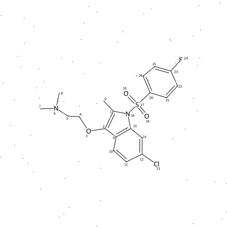 Cc1c(OCCN(C)C)c2ccc(Cl)cc2n1S(=O)(=O)c1ccc(F)cc1